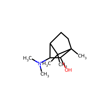 CN(C)C1C2CCC(C)(C1O)C2(C)C